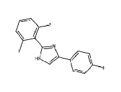 Fc1ccc(-c2c[nH]c(-c3c(F)cccc3F)n2)cc1